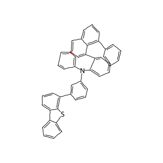 c1ccc(-c2cccc3cccc(-c4ccccc4N(c4ccccc4)c4cccc(-c5cccc6c5sc5ccccc56)c4)c23)cc1